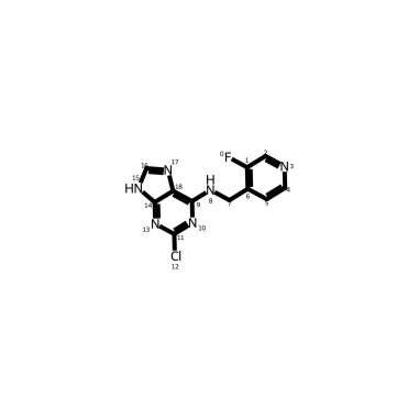 Fc1cnccc1CNc1nc(Cl)nc2[nH]cnc12